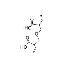 C=CC(COCC(C=C)C(=O)O)C(=O)O